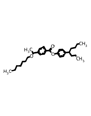 CCCCCCCOC(C)c1ccc(C(=O)Oc2ccc(C(CCC)CCCC)cc2)cc1